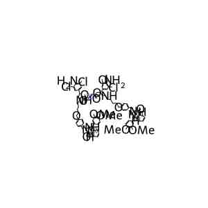 COc1ccc(C2=NN(Cc3ccc(OCCCCNCC(OC(=O)/C=C/C(=O)OC(CNCCCCOc4ccc(CN5N=C(c6ccc(OC)c(OC)c6)[C@H]6CC=CC[C@H]6C5=O)cc4)c4cc(Cl)c(N)c(Cl)c4)c4cc(Cl)c(N)c(Cl)c4)cc3)C(=O)[C@@H]3CC=CC[C@H]23)cc1OC